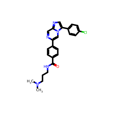 CN(C)CCCNC(=O)c1ccc(-c2cn3c(-c4ccc(Cl)cc4)cnc3cn2)cc1